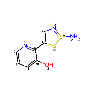 NS1=NC=C(c2ncccc2O)S1